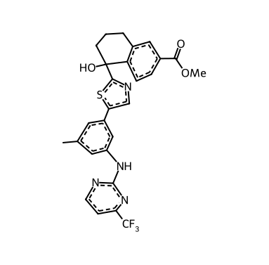 COC(=O)c1ccc2c(c1)CCCC2(O)c1ncc(-c2cc(C)cc(Nc3nccc(C(F)(F)F)n3)c2)s1